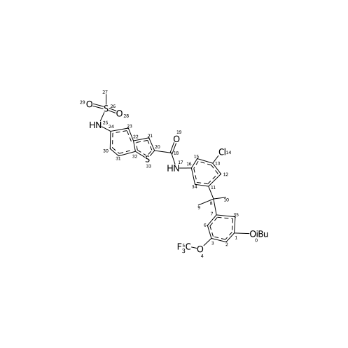 CC(C)COc1cc(OC(F)(F)F)cc(C(C)(C)c2cc(Cl)cc(NC(=O)c3cc4cc(NS(C)(=O)=O)ccc4s3)c2)c1